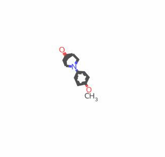 COc1ccc(N2CC3CCC2CC3=O)cc1